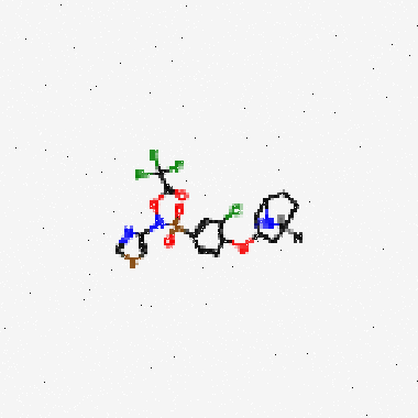 O=C(ON(c1cscn1)S(=O)(=O)c1ccc(OC2CC3CC[C@@H](C2)N3)c(Cl)c1)C(F)(F)F